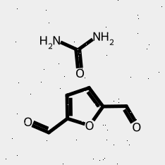 NC(N)=O.O=Cc1ccc(C=O)o1